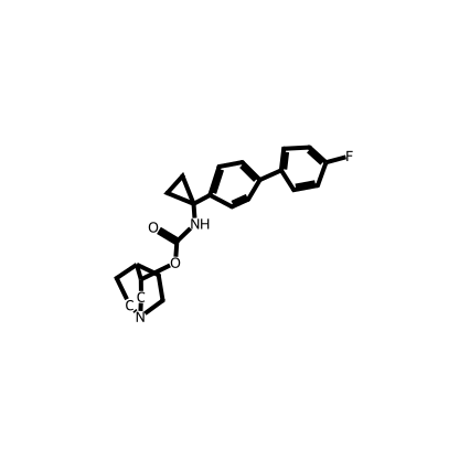 O=C(NC1(c2ccc(-c3ccc(F)cc3)cc2)CC1)OC1CN2CCC1CC2